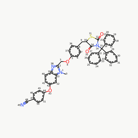 Cn1c(COc2ccc(CC3SC(=O)N(C(c4ccccc4)(c4ccccc4)c4ccccc4)C3=O)cc2)nc2ccc(Oc3ccc(C#N)cc3)cc21